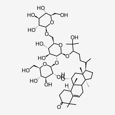 CC(CCC(O[C@@H]1O[C@H](CO[C@@H]2O[C@H](CO)[C@@H](O)[C@H](O)[C@H]2O)[C@@H](O)[C@H](O)[C@H]1O[C@@H]1O[C@H](CO)[C@@H](O)[C@H](O)[C@H]1O)C(C)(C)O)[C@H]1CC[C@@]2(C)C3CC=C4[C@@H](CCC(=O)C4(C)C)[C@]3(C)[C@H](O)C[C@]12C